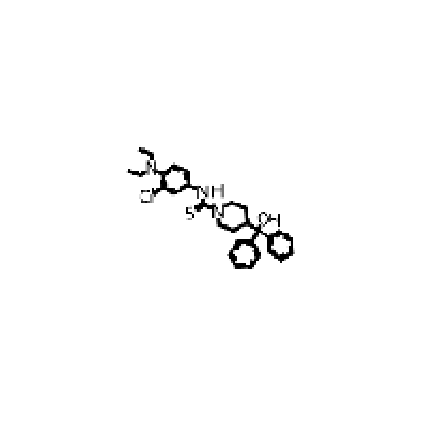 CCN(CC)c1ccc(NC(=S)N2CCC(C(O)(c3ccccc3)c3ccccc3)CC2)cc1Cl